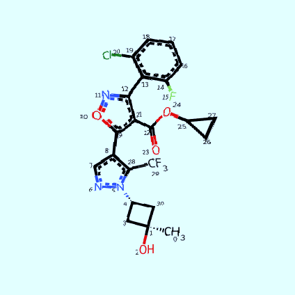 C[C@]1(O)C[C@H](n2ncc(-c3onc(-c4c(F)cccc4Cl)c3C(=O)OC3CC3)c2C(F)(F)F)C1